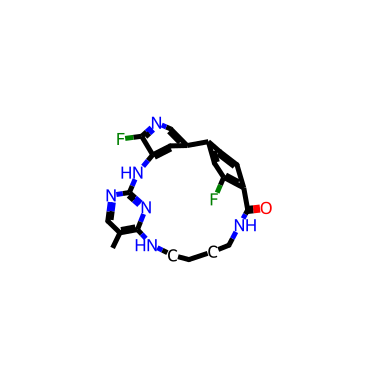 Cc1cnc2nc1NCCCCNC(=O)c1ccc(cc1F)-c1cnc(F)c(c1)N2